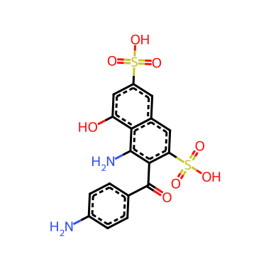 Nc1ccc(C(=O)c2c(S(=O)(=O)O)cc3cc(S(=O)(=O)O)cc(O)c3c2N)cc1